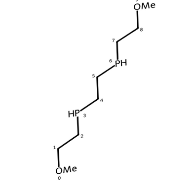 COCCPCCPCCOC